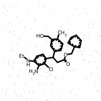 CCNc1ccc(C(CC(=O)OCc2ccccc2)c2ccc(C)c(CO)c2)c(Cl)c1N